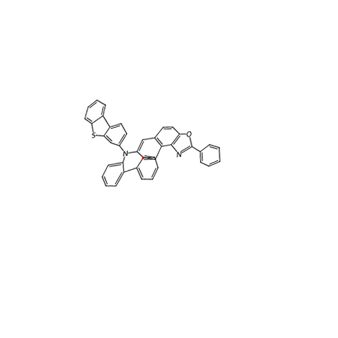 c1ccc(-c2nc3c(ccc4cc(N(c5ccc6c(c5)sc5ccccc56)c5ccccc5-c5ccccc5)ccc43)o2)cc1